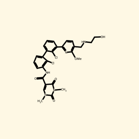 COc1nc(-c2cccc(-c3cccc(NC(=O)c4cn(C)c(=O)n(C)c4=O)c3Cl)c2Cl)ccc1CNCCO